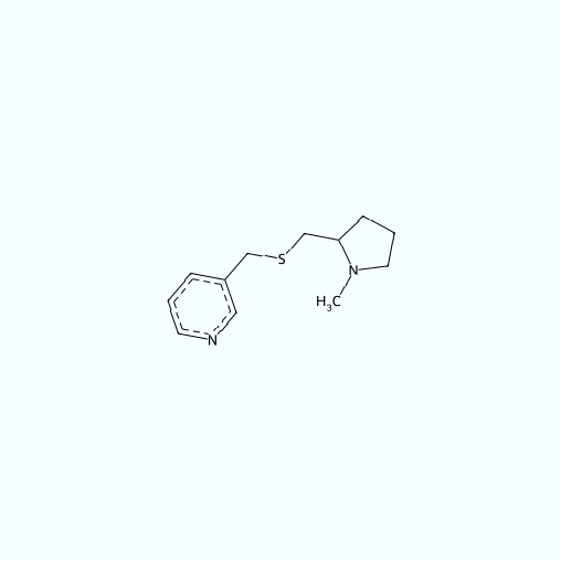 CN1CCCC1CSCc1cccnc1